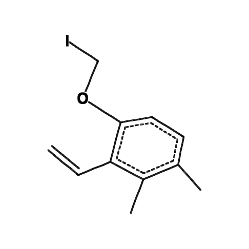 C=Cc1c(OCI)ccc(C)c1C